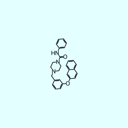 O=C(Nc1ccccc1)N1CCN(Cc2cccc(Oc3ccc4ccccc4c3)c2)CC1